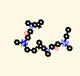 CC1(C)c2ccccc2-c2cc3c4ccccc4n(-c4ccc5c(c4)oc4cc(-c6nc(-c7ccccc7)nc(-c7cccc(-c8cccc(CC9(C)c%10ccccc%10-c%10cc%11c(cc%109)c9ccccc9n%11-c9ccc%10c(c9)oc9cc(-c%11nc(-c%12ccccc%12)nc(-c%12ccc(-c%13ccccc%13)cc%12)n%11)ccc9%10)c8)c7)n6)ccc45)c3cc21